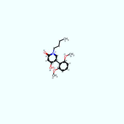 CCCCn1cc(-c2c(OC)cccc2OC)c(O)cc1=O